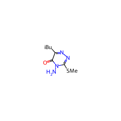 CCC(C)c1nnc(SC)n(N)c1=O